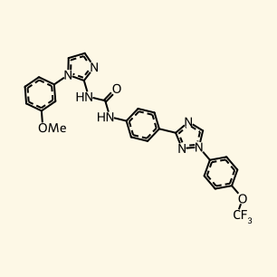 COc1cccc(-n2ccnc2NC(=O)Nc2ccc(-c3ncn(-c4ccc(OC(F)(F)F)cc4)n3)cc2)c1